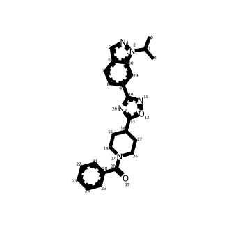 CC(C)n1ncc2ccc(-c3noc(C4CCN(C(=O)c5ccccc5)CC4)n3)cc21